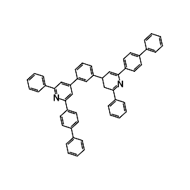 C1=C(c2ccc(-c3ccccc3)cc2)N=C(c2ccccc2)CC1c1cccc(-c2cc(-c3ccccc3)nc(-c3ccc(-c4ccccc4)cc3)c2)c1